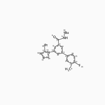 Cc1cc(-c2cc(C(=O)NC(C)(C)C)cc(-n3cbnc3C(C)C)c2)ccc1F